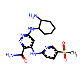 CS(=O)(=O)c1ccc(Nc2cc(NC3CCCCC3N)nnc2C(N)=O)nc1